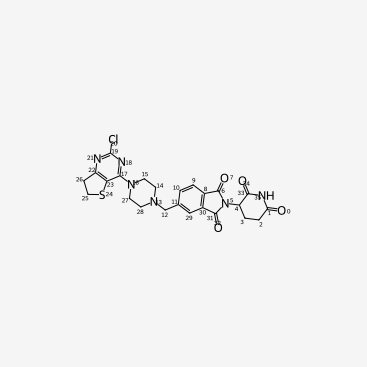 O=C1CCC(N2C(=O)c3ccc(CN4CCN(c5nc(Cl)nc6c5SCC6)CC4)cc3C2=O)C(=O)N1